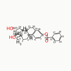 C[C@]12CC[C@@H]3c4ccc(OC(=O)c5ccccc5)cc4CC[C@H]3[C@@H]1C[C@@H](O)[C@@H]2O